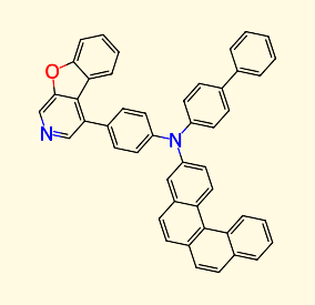 c1ccc(-c2ccc(N(c3ccc(-c4cncc5oc6ccccc6c45)cc3)c3ccc4c(ccc5ccc6ccccc6c54)c3)cc2)cc1